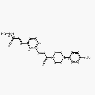 CC(C)(C)c1ccc(N2CCN(C(=O)C=Cc3cccc(C=CC(=O)NO)n3)CC2)cc1